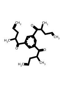 C=CCC(C)C(=O)c1[c]c(C(=O)C(C)CC=C)cc(C(=O)C(C)CC=C)c1